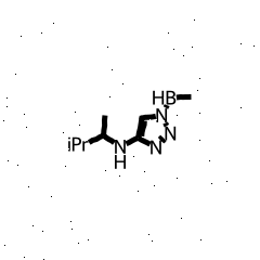 CBn1cc(NC(C)C(C)C)nn1